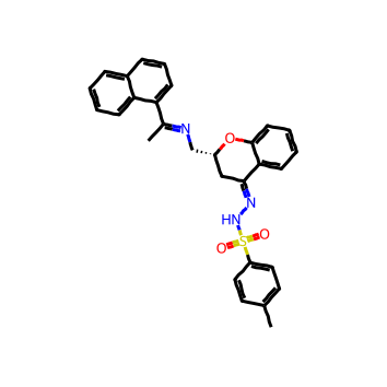 C/C(=N\C[C@H]1C/C(=N\NS(=O)(=O)c2ccc(C)cc2)c2ccccc2O1)c1cccc2ccccc12